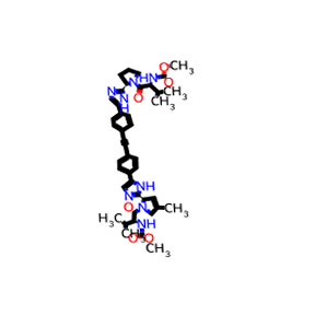 COC(=O)N[C@H](C(=O)N1CC(C)=C[C@H]1c1ncc(-c2ccc(C#Cc3ccc(-c4cnc([C@@H]5CCCN5C(=O)[C@@H](NC(=O)OC)C(C)C)[nH]4)cc3)cc2)[nH]1)C(C)C